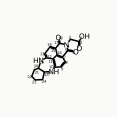 O=C(O)CN1C(=O)c2ccc3c4c(ccc(c24)C1=O)NC1CCCCC1N3